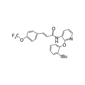 CC(C)(C)c1ccccc1Oc1ncccc1NC(=O)/C=C/c1ccc(OC(F)(F)F)cc1